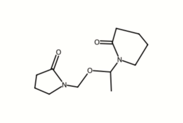 CC(OCN1CCCC1=O)N1CCCCC1=O